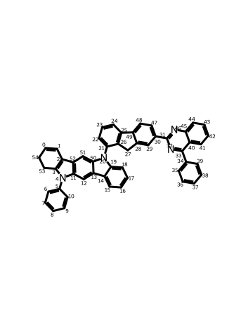 C1=Cc2c(n(-c3ccccc3)c3cc4c5ccccc5n(-c5cccc6c5Cc5cc(-c7nc(-c8ccccc8)c8ccccc8n7)ccc5-6)c4cc23)CC1